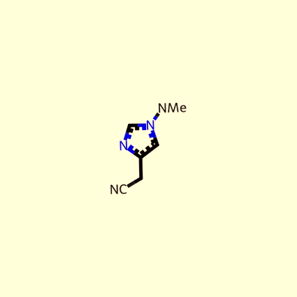 CNn1cnc(CC#N)c1